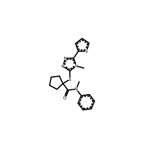 CN(C(=O)C1(Sc2nnc(-c3cccs3)n2C)CCCC1)c1ccccc1